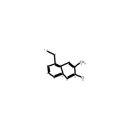 Cc1cc2c(CI)cccc2cc1Cl